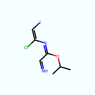 CC(C)O/C(C=N)=N/C(Cl)=C\I